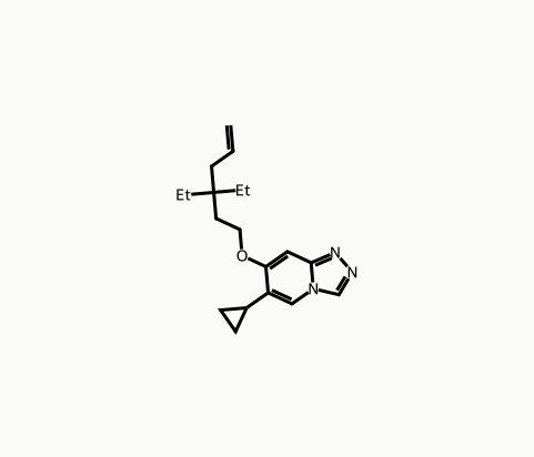 C=CCC(CC)(CC)CCOc1cc2nncn2cc1C1CC1